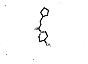 CC1CCN(C(=O)CCC2CCCC2)CC1